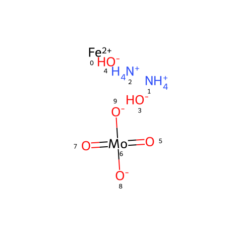 [Fe+2].[NH4+].[NH4+].[OH-].[OH-].[O]=[Mo](=[O])([O-])[O-]